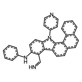 N=Cc1c(Nc2ccccc2)ccc2c1c1ccc3ccc4ccccc4c3c1n2-c1ccncc1